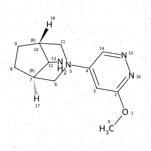 COc1cc(N2C[C@H]3CC[C@H](C2)C3N)cnn1